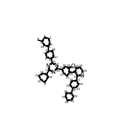 Cc1cccc(-c2ccc(-c3nc(-c4ccccc4)nc(-c4ccc5c(c4)oc4ccnc(-c6ccc(-c7ccccc7)cc6)c45)n3)cc2)c1